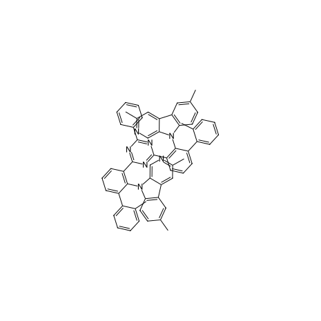 Cc1ccc2c(c1)c1cc(C)ncc1n2-c1c(-c2nc(-c3ccccc3)nc(-c3cccc(-c4ccccc4C)c3-n3c4ccc(C)cc4c4cc(C)ncc43)n2)cccc1-c1ccccc1C